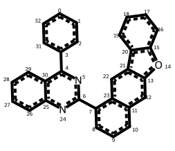 c1ccc(-c2nc(-c3cccc4cc5oc6ccccc6c5cc34)nc3ccccc23)cc1